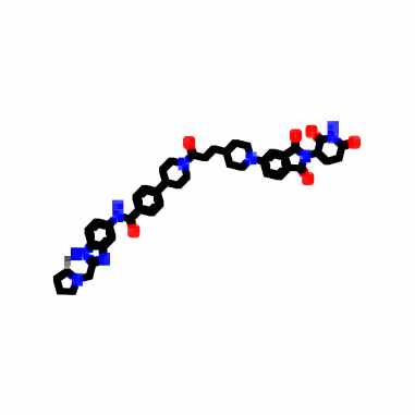 C[C@H]1CCCN1Cc1nc2cc(NC(=O)c3ccc(C4CCN(C(=O)CCC5CCN(c6ccc7c(c6)C(=O)N(C6CCC(=O)NC6=O)C7=O)CC5)CC4)cc3)ccc2[nH]1